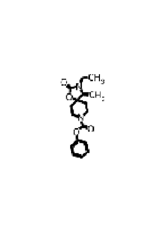 C=C1N(CC)C(=O)OC12CCN(C(=O)Oc1ccccc1)CC2